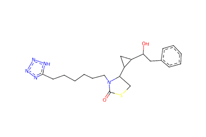 O=C1SCC(C2CC2C(O)Cc2ccccc2)N1CCCCCCc1nnn[nH]1